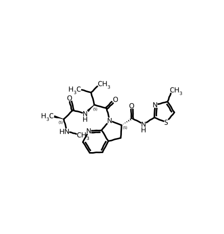 CN[C@@H](C)C(=O)N[C@H](C(=O)N1c2ncccc2C[C@H]1C(=O)Nc1nc(C)cs1)C(C)C